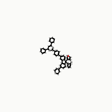 c1ccc(-c2cc(-c3ccccc3)nc(-c3ccc(-c4ccc5c(c4)-c4cc(-c6ccncc6)ccc4C54c5ccccc5Oc5ccccc54)cc3)n2)cc1